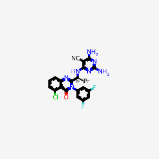 CC(C)[C@H](Nc1nc(N)nc(N)c1C#N)c1nc2cccc(Cl)c2c(=O)n1-c1cc(F)cc(F)c1